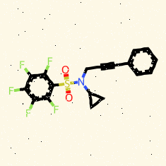 O=S(=O)(c1c(F)c(F)c(F)c(F)c1F)N(CC#Cc1ccccc1)C1CC1